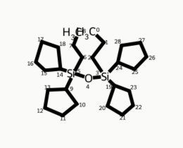 CCC[Si](O[Si](CCC)(C1CCCC1)C1CCCC1)(C1CCCC1)C1CCCC1